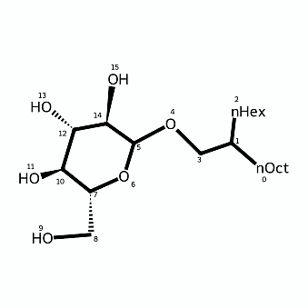 CCCCCCCCC(CCCCCC)COC1O[C@H](CO)[C@@H](O)[C@H](O)[C@H]1O